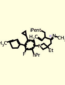 C=CC(CC(C)CCC)/C(CC1(CC)CN(c2cc(C3CC3)c(C3=CC=C(C)CC3)c(F)c2CCC)C1)=N/C